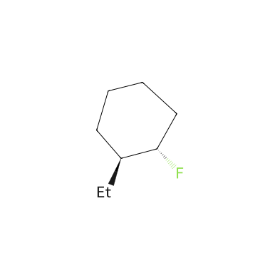 CC[C@H]1CCCC[C@@H]1F